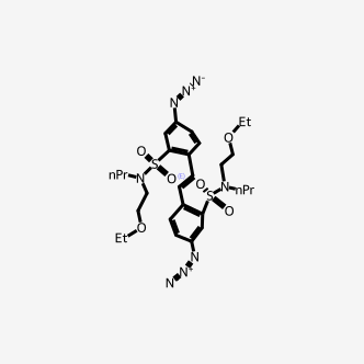 CCCN(CCOCC)S(=O)(=O)c1cc(N=[N+]=[N-])ccc1/C=C/c1ccc(N=[N+]=[N-])cc1S(=O)(=O)N(CCC)CCOCC